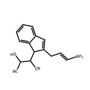 N#CC(O)C(C#N)C1C(CC=CN)=Cc2ccccc21